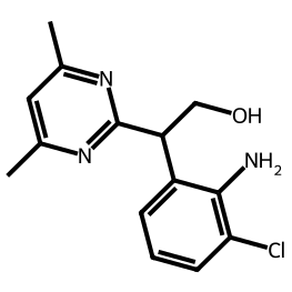 Cc1cc(C)nc(C(CO)c2cccc(Cl)c2N)n1